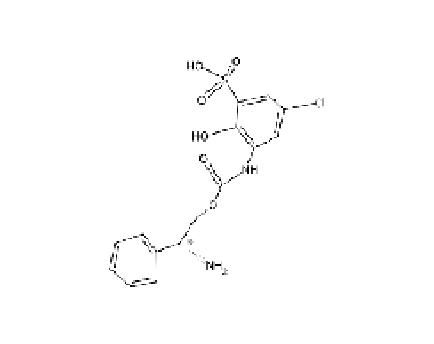 N[C@@H](COC(=O)Nc1cc(Cl)cc(S(=O)(=O)O)c1O)c1ccccc1